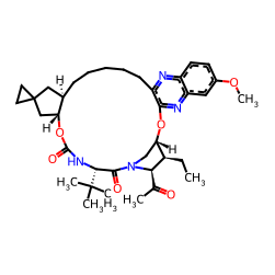 CC[C@@H]1[C@@H]2CN(C(=O)[C@H](C(C)(C)C)NC(=O)O[C@@H]3CC4(CC4)C[C@H]3CCCCCc3nc4ccc(OC)cc4nc3O2)[C@@H]1C(C)=O